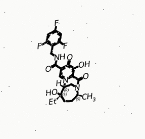 CC[C@]1(O)CC[C@H](C)N2C[C@H]1n1cc(C(=O)NCc3c(F)cc(F)cc3F)c(=O)c(O)c1C2=O